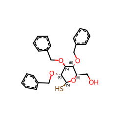 OC[C@H]1O[C@@H](S)[C@H](OCc2ccccc2)[C@@H](OCc2ccccc2)[C@@H]1OCc1ccccc1